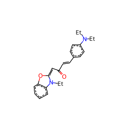 CCN(CC)c1ccc(/C=C/C(=O)C=C2Oc3ccccc3N2CC)cc1